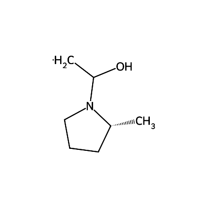 [CH2]C(O)N1CCC[C@H]1C